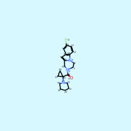 O=C(N1CCn2c(cc3cc(F)ccc32)C1)C1(N2CCCCC2)CC1